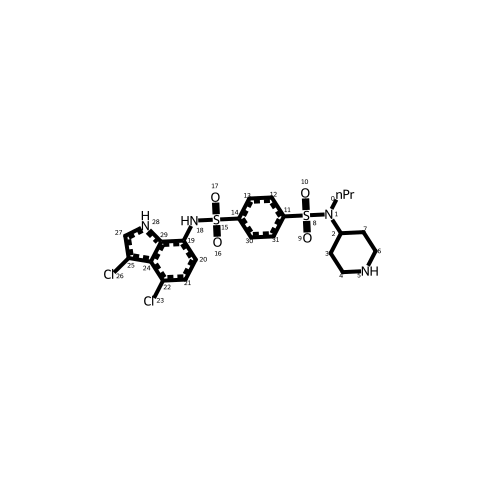 CCCN(C1CCNCC1)S(=O)(=O)c1ccc(S(=O)(=O)Nc2ccc(Cl)c3c(Cl)c[nH]c23)cc1